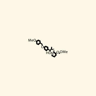 COCOc1cccnc1SC(C)C(O)c1ccc(OCc2ccc(OC)cc2)cc1